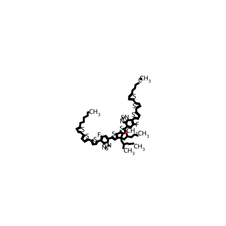 CCCCCCc1ccc(-c2ccc(-c3ccc(-c4c(F)cc(-c5cc6c(s5)-c5sc(-c7cc(F)c(-c8ccc(-c9ccc(-c%10ccc(CCCCCC)s%10)s9)s8)c8nsnc78)cc5C6(CC(CC)CCCC)CC(CC)CCCC)c5nsnc45)s3)s2)s1